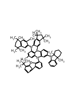 Cc1cc2c3c(c1)N(c1cccc4c1oc1c(C(C)(C)C)cccc14)c1cc(N4c5ccccc5C5(C)CCCCC45C)ccc1B3c1cc3c(cc1N2c1cc2c(cc1C)C(C)(C)CCC2(C)C)C(C)(C)CC3(C)C